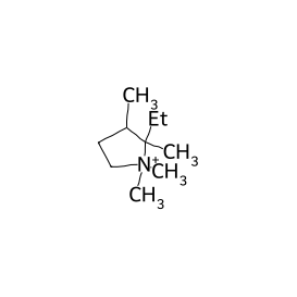 CCC1(C)C(C)CC[N+]1(C)C